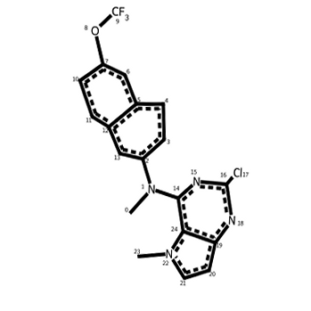 CN(c1ccc2cc(OC(F)(F)F)ccc2c1)c1nc(Cl)nc2ccn(C)c12